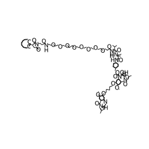 COc1cc2c(cc1OCCCCCOc1cc3c(cc1OC)C(=O)N1C=C(C)C[C@H]1[C@H](O)N3C(=O)OCc1ccc(NC(=O)[C@H](C)NC(=O)[C@@H](NC(=O)CCOCCOCCOCCOCCOCCOCCOCCOCCNC(=O)CCN3C(=O)CC(c4ccccccccc4)C3=O)C(C)C)cc1)N=C[C@@H]1CC(C)=CN1C2=O